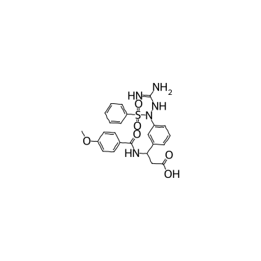 COc1ccc(C(=O)NC(CC(=O)O)c2cccc(N(NC(=N)N)S(=O)(=O)c3ccccc3)c2)cc1